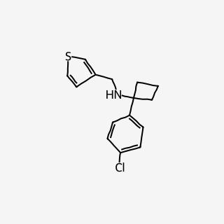 Clc1ccc(C2(NCc3ccsc3)CCC2)cc1